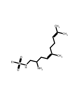 CCS(=O)(=O)NCC(N)CC=C(C)CCC=C(C)C